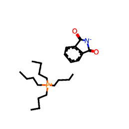 CCCC[P+](CCCC)(CCCC)CCCC.O=C1[N-]C(=O)c2ccccc21